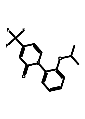 CC(C)Oc1ccccc1-n1ccc(C(F)(F)F)cc1=O